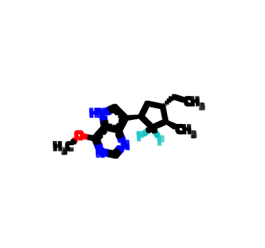 CC[C@H]1C[C@H](c2c[nH]c3c(OC)ncnc23)C(F)(F)[C@@H]1C